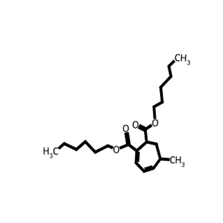 CCCCCCOC(=O)C1=CC=CC(C)CC1C(=O)OCCCCCC